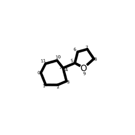 C1CCC[C](C2CCCO2)CC1